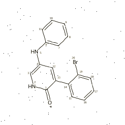 O=c1[nH]cc(Nc2ccccc2)cc1-c1ccccc1Br